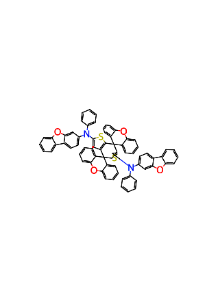 c1ccc(N(c2ccc3c(c2)oc2ccccc23)c2cc3c(s2)C2(c4ccccc4Oc4ccccc42)c2cc(N(c4ccccc4)c4ccc5c(c4)oc4ccccc45)sc2C32c3ccccc3Oc3ccccc32)cc1